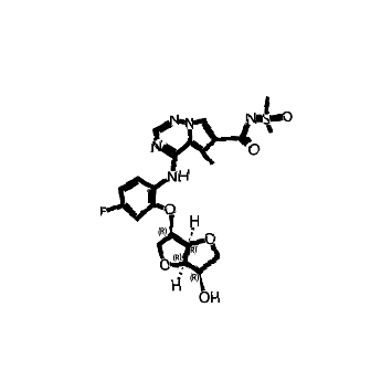 Cc1c(C(=O)N=S(C)(C)=O)cn2ncnc(Nc3ccc(F)cc3O[C@@H]3CO[C@H]4[C@@H]3OC[C@H]4O)c12